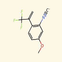 [C-]#[N+]c1cc(OC)ccc1C(=C)C(F)(F)F